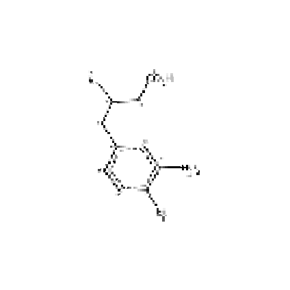 CCc1ccc(CC(CC)CC(=O)O)cc1[N+](=O)[O-]